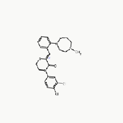 CN1CCCN(c2ccccc2/C=C2\SCCN(c3ccc(Cl)c(Cl)c3)C2=O)CC1